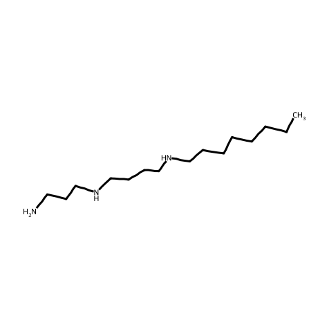 CCCCCCCCNCCCCNCCCN